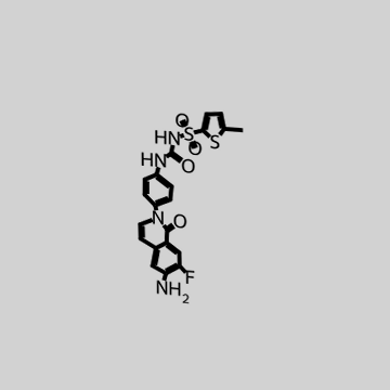 Cc1ccc(S(=O)(=O)NC(=O)Nc2ccc(-n3ccc4cc(N)c(F)cc4c3=O)cc2)s1